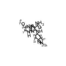 CCOC[C@H](N)[C@@H](C)Nc1nnc(C(N)=O)c(Nc2cc(C)c3nn(CC)cc3c2)n1